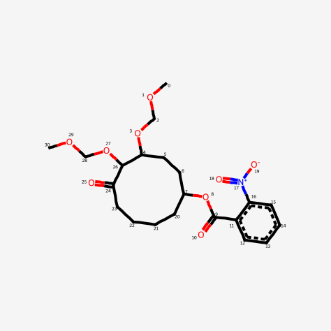 COCOC1CCC(OC(=O)c2ccccc2[N+](=O)[O-])CCCCC(=O)C1OCOC